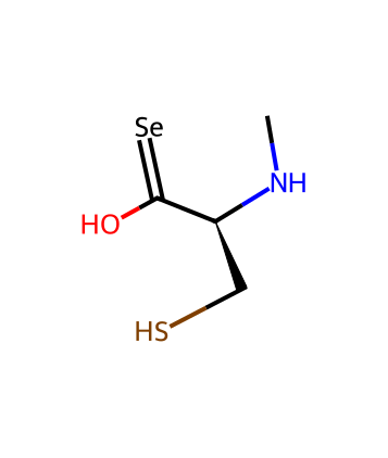 CN[C@@H](CS)C(O)=[Se]